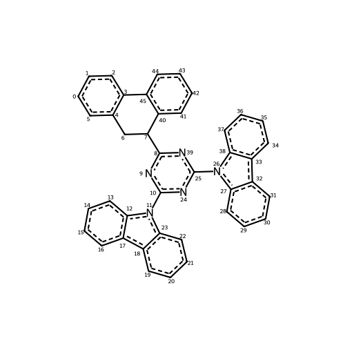 c1ccc2c(c1)CC(c1nc(-n3c4ccccc4c4ccccc43)nc(-n3c4ccccc4c4ccccc43)n1)c1ccccc1-2